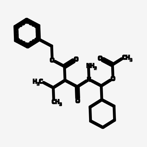 CC(=O)OC(C1CCCCC1)N(N)C(=O)C(C(=O)OCc1ccccc1)C(C)C